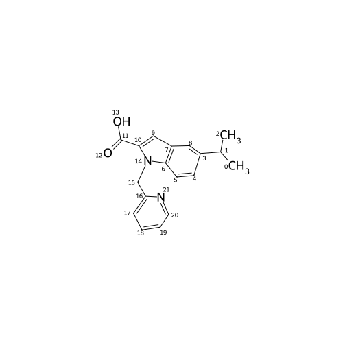 CC(C)c1ccc2c(c1)cc(C(=O)O)n2Cc1ccccn1